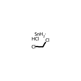 Cl.ClCCl.[SnH2]